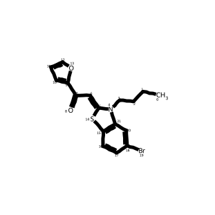 CCCCN1/C(=C/C(=O)c2ccco2)Sc2ccc(Br)cc21